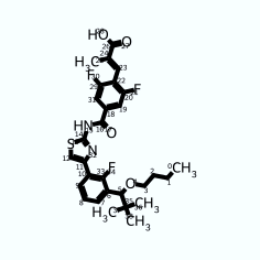 CCCCOC(c1cccc(-c2csc(NC(=O)c3cc(F)c(C=C(C)C(=O)O)c(F)c3)n2)c1F)C(C)(C)C